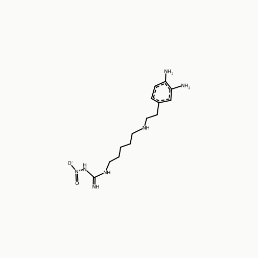 N=C(NCCCCCNCCc1ccc(N)c(N)c1)N[N+](=O)[O-]